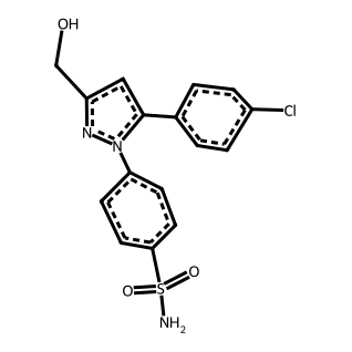 NS(=O)(=O)c1ccc(-n2nc(CO)cc2-c2ccc(Cl)cc2)cc1